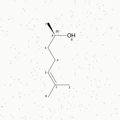 CC(C)=CCC[C@@H](C)O